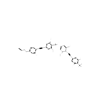 C=CCCc1ccc(C#Cc2cc(F)c(C(F)(F)OC3=CC(F)C(C#Cc4cc(F)c(C(F)(F)F)c(F)c4)C(F)=C3)c(F)c2)c(F)c1